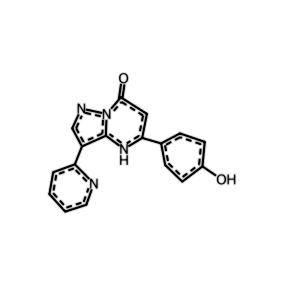 O=c1cc(-c2ccc(O)cc2)[nH]c2c(-c3ccccn3)cnn12